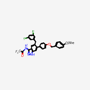 COc1ccc(COc2ccc(-c3cc4[nH]nc(NC(=O)C(F)(F)F)c4cc3Cc3cc(F)cc(F)c3)cc2)cc1